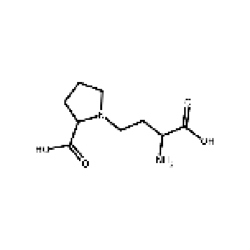 NC(CCN1CCCC1C(=O)O)C(=O)O